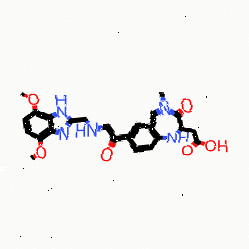 COc1ccc(OC)c2[nH]c(CNCC(=O)c3ccc4c(c3)CN(C)C(=O)C(CC(=O)O)N4)nc12